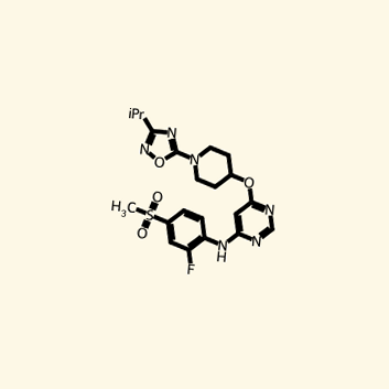 CC(C)c1noc(N2CCC(Oc3cc(Nc4ccc(S(C)(=O)=O)cc4F)ncn3)CC2)n1